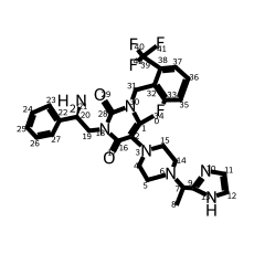 Cc1c(N2CCN(C(C)c3ncc[nH]3)CC2)c(=O)n(C[C@H](N)c2ccccc2)c(=O)n1Cc1c(F)cccc1C(F)(F)F